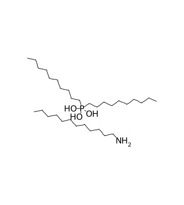 CCCCCCCCCCCCN.CCCCCCCCCCP(O)(O)(O)CCCCCCCCCC